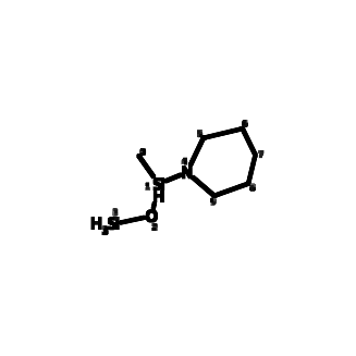 C[SiH](O[SiH3])N1CCCCC1